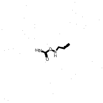 C=CCNOC([NH])=O